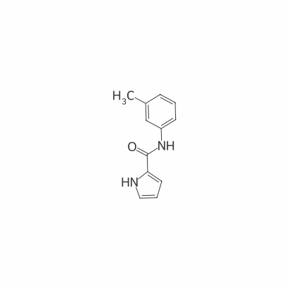 Cc1cccc(NC(=O)c2ccc[nH]2)c1